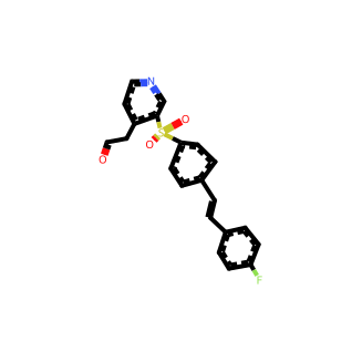 O=CCc1ccncc1S(=O)(=O)c1ccc(C=Cc2ccc(F)cc2)cc1